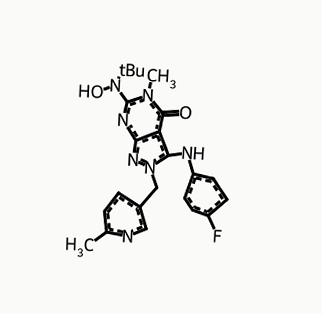 Cc1ccc(Cn2nc3nc(N(O)C(C)(C)C)n(C)c(=O)c3c2Nc2ccc(F)cc2)cn1